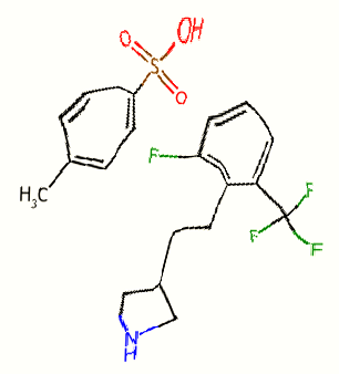 Cc1ccc(S(=O)(=O)O)cc1.Fc1cccc(C(F)(F)F)c1CCC1CNC1